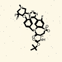 CN1CC(n2nnc(-c3cc4c(cc3F)S(=O)(=O)C[C@H](NC(=O)OC(C)(C)C)C(=O)N4Cc3ccc(Cl)cc3)n2)CC(F)(F)C1